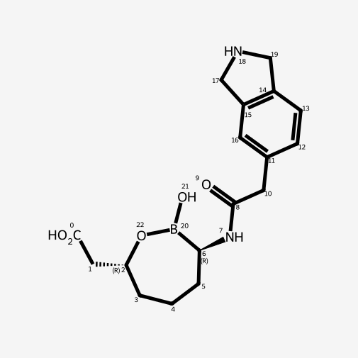 O=C(O)C[C@H]1CCC[C@H](NC(=O)Cc2ccc3c(c2)CNC3)B(O)O1